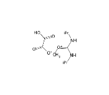 C[O+]=C(NC(C)C)NC(C)C.O=C([O-])C(=O)O